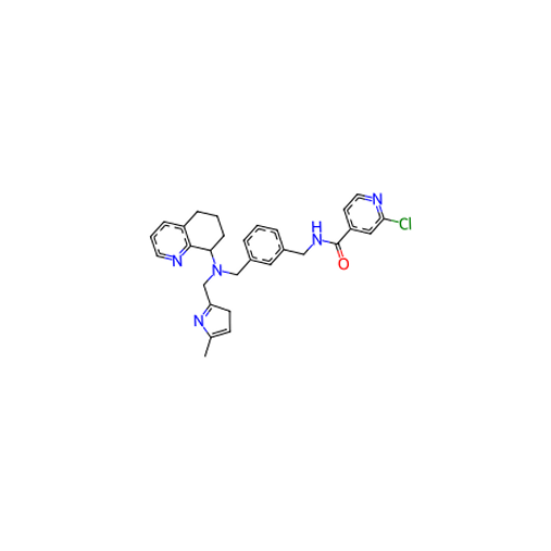 CC1=CCC(CN(Cc2cccc(CNC(=O)c3ccnc(Cl)c3)c2)C2CCCc3cccnc32)=N1